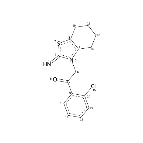 N=c1sc2c(n1CC(=O)c1ccccc1Cl)CCCC2